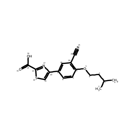 CC(C)CCOc1ccc(-c2csc(C(=O)O)n2)cc1C#N